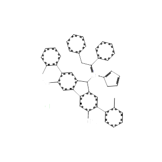 Cc1ccccc1-c1cc2c(cc1C(C)(C)C)-c1cc(C(C)(C)C)c(-c3ccccc3C)cc1[CH]2/[Zr+2]([C]1=CC=CC1)=[C](\Cc1ccccc1)c1ccccc1.[Cl-].[Cl-]